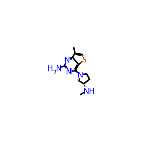 CN[C@H]1CCN(c2nc(N)nc3c(C)csc23)C1